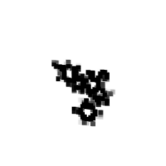 CN1CCN(c2nc(=O)c3cnn(-c4ccccc4)c3[nH]2)CC1